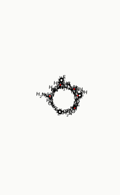 C#CC[C@@H]1NC(=O)[C@H](Cc2c[nH]c3ccc(F)cc23)NC(=O)C(C)(C)NC(=O)CNC(=O)[C@H](CCCCN)NC(=O)CCSCc2cccc(c2)CSC[C@@H](C(N)=O)NC(=O)[C@@H]2CCCN2C(=O)[C@H](Cc2ccc(O)cc2)NC(=O)[C@H](Cc2cnc[nH]2)NC1=O